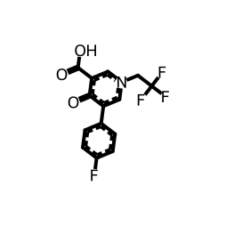 O=C(O)c1cn(CC(F)(F)F)cc(-c2ccc(F)cc2)c1=O